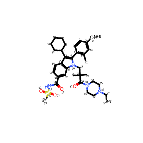 COc1ccc(-c2c(C3CCCCC3)c3ccc(C(=O)NS(=O)(=O)C(C)C)cc3n2CC(C)(C)C(=O)N2CCN(CC(C)C)CC2)c(C)c1